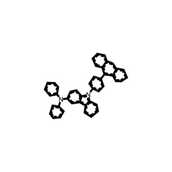 c1ccc(N(c2ccccc2)c2ccc3c(c2)c2ccccc2n3-c2ccc(-c3c4ccccc4cc4ccccc34)cc2)cc1